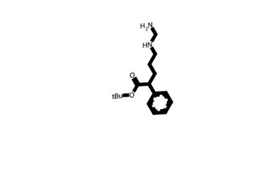 CC(C)(C)OC(=O)C(CCCNCN)c1ccccc1